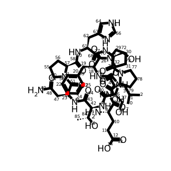 CC(C)C[C@H](NC(=O)[C@@H](N)CCC(=O)O)C(=O)N[C@@H](Cc1ccccc1)C(=O)N1CCC[C@H]1C(=O)N[C@@H](CO)C(=O)N[C@H](C(=O)N[C@@H](CC(N)=O)C(=O)N1CCC[C@H]1C(=O)N[C@@H](Cc1c[nH]cn1)C(=O)N[C@@H](CO)C(=O)N1CCC[C@H]1C(=O)O)[C@@H](C)O